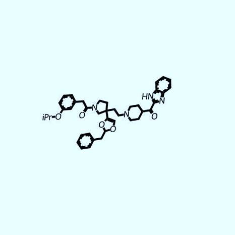 CC(C)Oc1cccc(CC(=O)N2CCC(CCN3CCC(C(=O)c4nc5ccccc5[nH]4)CC3)(C3=COC(Cc4ccccc4)O3)C2)c1